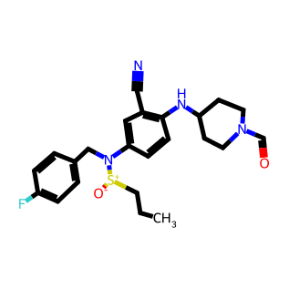 CCC[S+]([O-])N(Cc1ccc(F)cc1)c1ccc(NC2CCN(C=O)CC2)c(C#N)c1